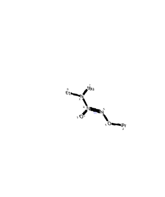 CCN(/[N+]([O-])=N/OC(C)C)C(C)(C)C